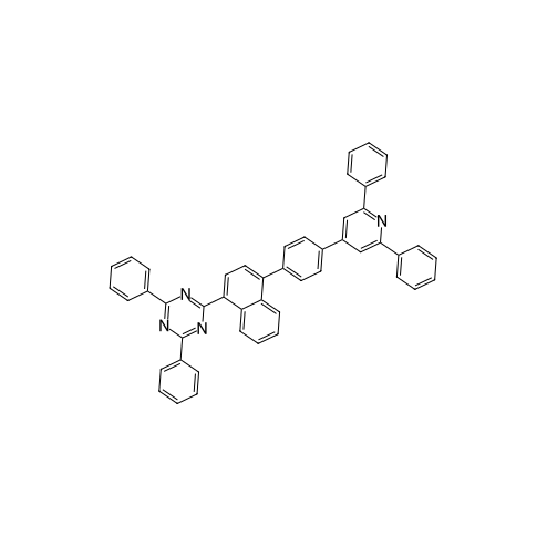 c1ccc(-c2cc(-c3ccc(-c4ccc(-c5nc(-c6ccccc6)nc(-c6ccccc6)n5)c5ccccc45)cc3)cc(-c3ccccc3)n2)cc1